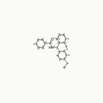 O=C(NC(c1ccc(CF)cc1)c1ncccc1F)c1ccccc1